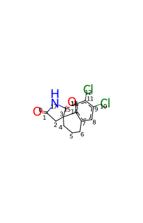 O=C1CC2(CCCc3cc(Cl)c(Cl)cc32)C(=O)N1